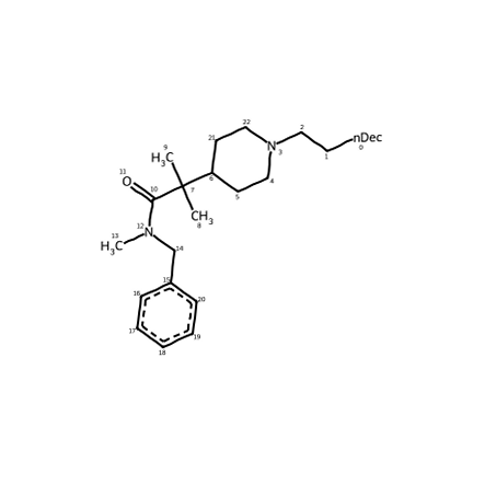 CCCCCCCCCCCCN1CCC(C(C)(C)C(=O)N(C)Cc2ccccc2)CC1